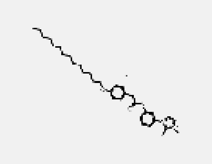 CCCCCCCCCCCCCCOc1ccc(CC(=O)Nc2cccc(-n3cc[n+](C)c3C)c2)cc1.[I-]